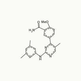 COc1ccc(-c2nc(Nc3cc(C)cc(C)c3)ncc2C)cc1C(N)=O